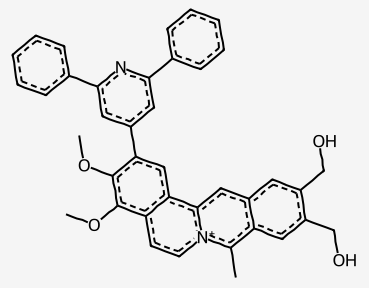 COc1c(-c2cc(-c3ccccc3)nc(-c3ccccc3)c2)cc2c(cc[n+]3c(C)c4cc(CO)c(CO)cc4cc23)c1OC